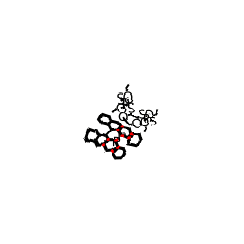 CCOP(=S)(OCC)SC1OCCOC1SP(=S)(OCC)OCC.c1ccc(P(c2ccccc2)c2ccc3ccccc3c2-c2c(P(c3ccccc3)c3ccccc3)ccc3ccccc23)cc1